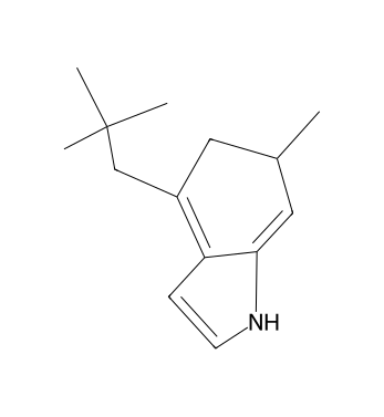 CC1C=c2[nH]ccc2=C(CC(C)(C)C)C1